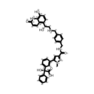 Cn1nc(C(=O)NCc2ccc(CNC[C@H](O)c3ccc(O)c4[nH]c(=O)ccc34)cc2)cc1-c1cccc([C@](O)(C(=O)O)c2ccccc2)c1